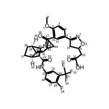 COc1ccc(C2=NOC(CC(=O)O)C2)cc1C(=O)N[C@H]1[C@@H](C(=O)Nc2ccc(F)c(C(F)(F)F)c2)[C@H]2CC[C@@H]1/C2=C\C1CC1